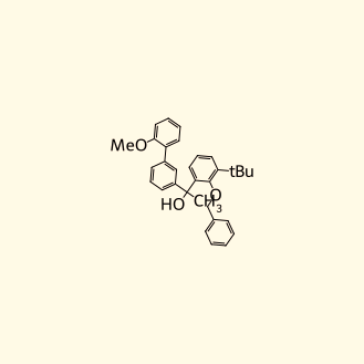 COc1ccccc1-c1cccc(C(C)(O)c2cccc(C(C)(C)C)c2OCc2ccccc2)c1